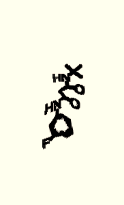 CC(C)(C)NC(=O)CC(=O)Nc1cccc(F)c1